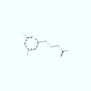 Cc1cc(N)nc(CCCC(=O)O)c1.Cl